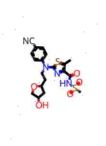 Cc1sc(N(CCC2CC(O)CO2)c2ccc(C#N)cc2)nc1C(=O)NS(C)(=O)=O